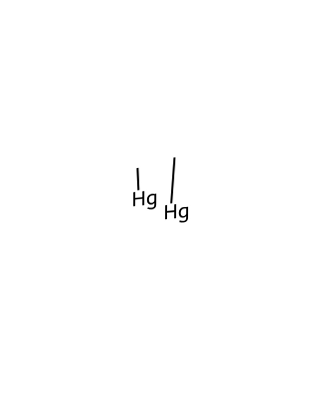 [CH3][Hg].[CH3][Hg]